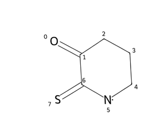 O=C1CCC[N]C1=S